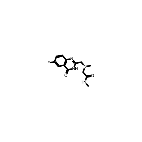 CNC(=O)CN(C)Cc1nc2ccc(F)cc2c(=O)[nH]1